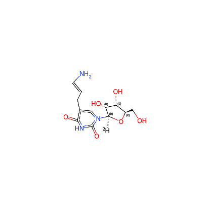 [2H][C@@]1(n2cc(CC=CN)c(=O)[nH]c2=O)O[C@H](CO)[C@@H](O)[C@H]1O